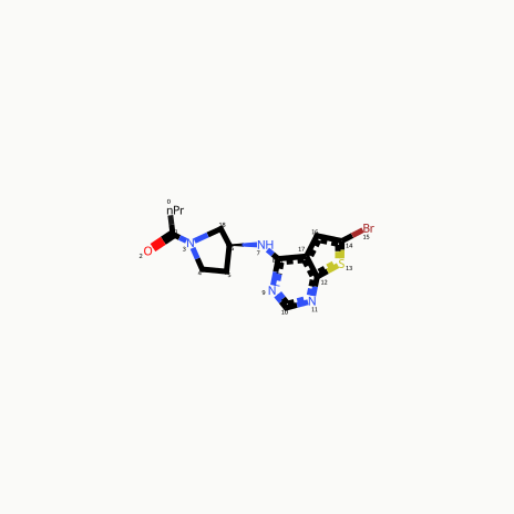 CCCC(=O)N1CC[C@H](Nc2ncnc3sc(Br)cc23)C1